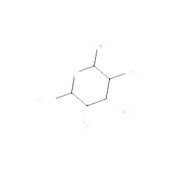 O=C(O)C1OC(O)C(O)[C@H](O)[C@@H]1O